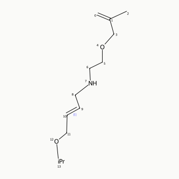 C=C(C)COCCNC/C=C/COC(C)C